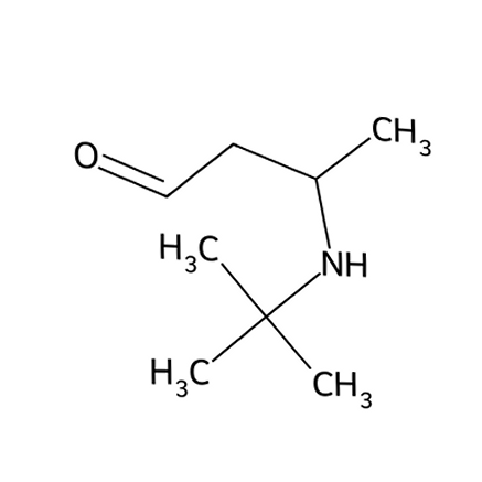 CC(CC=O)NC(C)(C)C